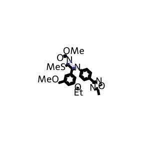 CCOc1cc(COC)cc(C(=N\c2ccc(-c3noc(C)n3)cc2)/C(=N/C(=O)OC)SC)c1